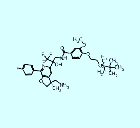 COc1cc(C(=O)NCC(O)(c2cc3c(c(-c4ccc(F)cc4)n2)OC[C@]3(C)CN)C(F)(F)F)ccc1OCCO[Si](C)(C)C(C)(C)C